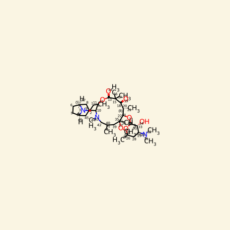 CCCN1[C@@H]2CC[C@H]1CC(C1COC(=O)C(C)(C)C(=O)[C@H](C)[C@@H](O[C@@H]3O[C@H](C)C[C@H](N(C)C)[C@H]3O)[C@](C)(OC)C[C@@H](C)CN1C)C2